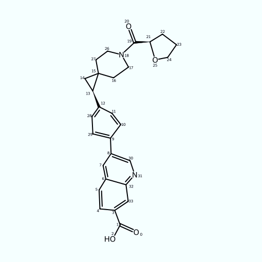 O=C(O)c1ccc2cc(-c3ccc([C@H]4CC45CCN(C(=O)[C@H]4CCCO4)CC5)cc3)cnc2c1